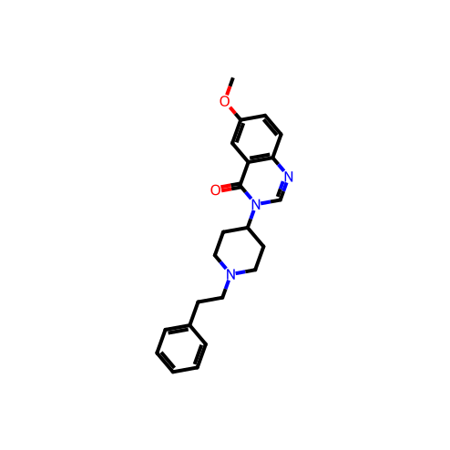 COc1ccc2ncn(C3CCN(CCc4ccccc4)CC3)c(=O)c2c1